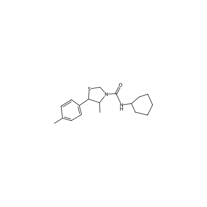 Cc1ccc(C2SCN(C(=O)NC3CCCCC3)C2C)cc1